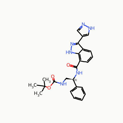 CC(C)(C)OC(=O)NC[C@@H](NC(=O)c1cccc2c(-c3cn[nH]c3)n[nH]c12)c1ccccc1